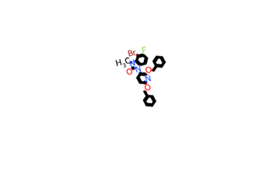 Cn1c(=O)n(-c2ccc(OCc3ccccc3)nc2OCc2ccccc2)c2ccc(F)c(Br)c21